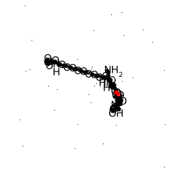 CCc1c2c(nc3ccc(O)cc13)-c1cc3c(c(=O)n1C2)COC(=O)[C@@]3(CC)OC(=O)OCc1ccc(NC(=O)[C@H](CCCCN)NC(=O)CCOCCOCCOCCOCCOCCOCCOCCOCCNC(=O)CCN2C(=O)C=CC2=O)cc1